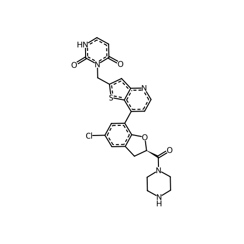 O=C([C@H]1Cc2cc(Cl)cc(-c3ccnc4cc(Cn5c(=O)cc[nH]c5=O)sc34)c2O1)N1CCNCC1